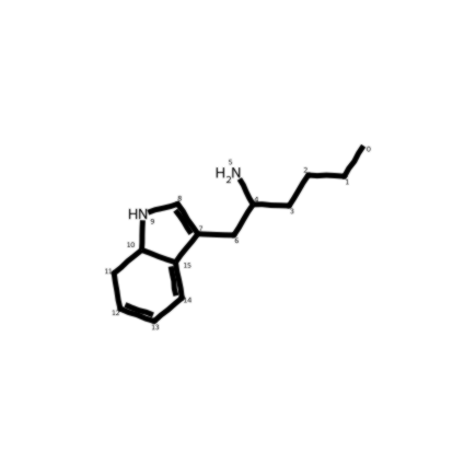 CCCCC(N)CC1=CNC2CC=CC=C12